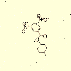 CC1CCC(OC(=O)c2cc([N+](=O)[O-])cc([N+](=O)[O-])c2)CC1